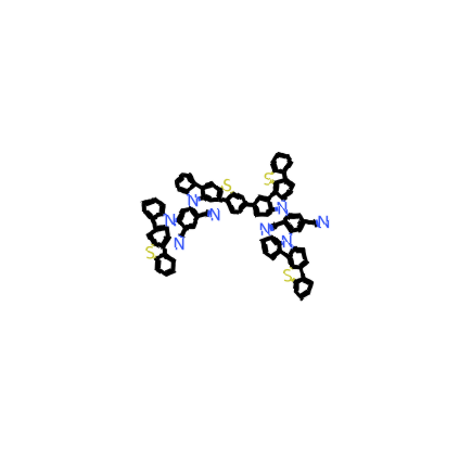 N#Cc1cc(-n2c3ccccc3c3c4sc5ccccc5c4ccc32)c(C#N)c(-n2c3ccc(-c4ccc5c(c4)sc4cc6c7ccccc7n(-c7cc(-n8c9ccccc9c9cc%10sc%11ccccc%11c%10cc98)c(C#N)cc7C#N)c6cc45)cc3c3c4sc5ccccc5c4ccc32)c1